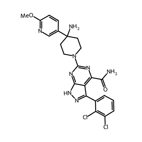 COc1ccc(C2(N)CCN(c3nc(C(N)=O)c4c(-c5cccc(Cl)c5Cl)n[nH]c4n3)CC2)cn1